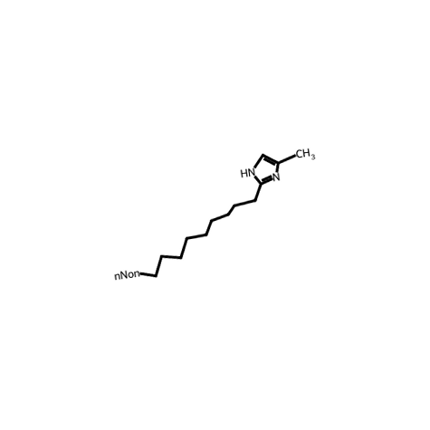 CCCCCCCCCCCCCCCCCCc1nc(C)c[nH]1